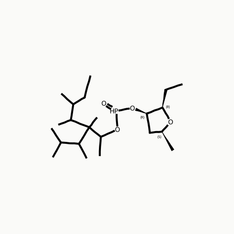 CCC(C)C(C)C(C)(C(C)O[PH](=O)O[C@@H]1C[C@H](C)O[C@@H]1CC)C(C)C(C)C